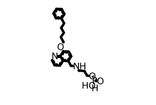 O=[PH](O)OCCCNCc1ccc(OCCCCCc2ccccc2)c2ncccc12